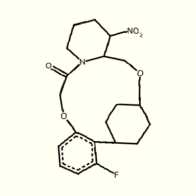 O=C1COc2cccc(F)c2C2CCC(CC2)OCC2C([N+](=O)[O-])CCCN12